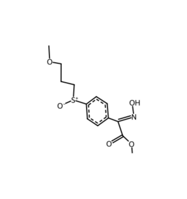 COCCC[S+]([O-])c1ccc(/C(=N\O)C(=O)OC)cc1